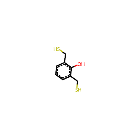 Oc1c(CS)cccc1CS